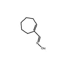 ON=CC1=CCCCCC1